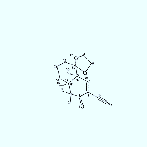 CC1(C)C(=O)C(C#N)=C[C@]2(C)C3(CCC[C@]12C)OCCO3